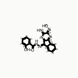 N=c1nc2/c(=N\NC(=O)c3ccccc3O)c3ccccc3c-2n/c1=N/O